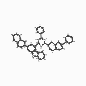 C1=CC(c2nc(-c3ccccc3)nc(-c3cc(-c4ccc5ccccc5c4)cc4oc5ccccc5c34)n2)Cc2cc(-c3ccccc3)ccc21